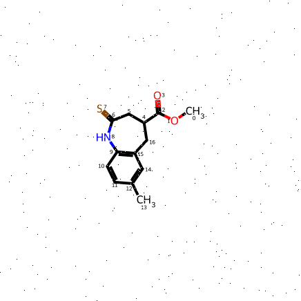 COC(=O)C1CC(=S)Nc2ccc(C)cc2C1